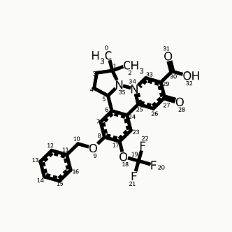 CC1(C)CCC2c3cc(OCc4ccccc4)c(OC(F)(F)F)cc3-c3cc(=O)c(C(=O)O)cn3N21